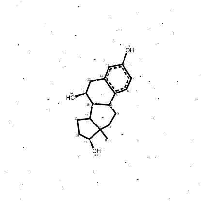 CC12CCC3c4ccc(O)cc4C[C@H](O)C3C1CC[C@@H]2O